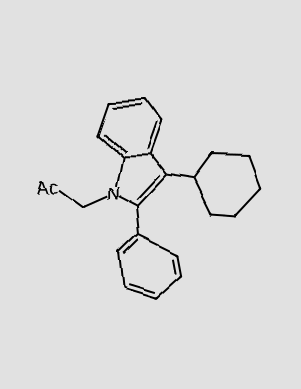 CC(=O)Cn1c(-c2ccccc2)c(C2CCCCC2)c2ccccc21